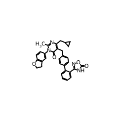 Cc1nc(CC2CC2)c(Cc2ccc(-c3ccccc3-c3noc(=O)[nH]3)cc2)c(=O)n1-c1ccc2c(c1)CCO2